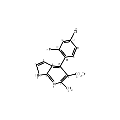 CCOC(=O)c1c(C)nc2[nH]ccc2c1-c1ccc(Cl)cc1F